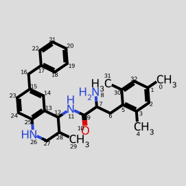 Cc1cc(C)c(CC(N)C(=O)NC2c3cc(Cc4ccccc4)ccc3NCC2C)c(C)c1